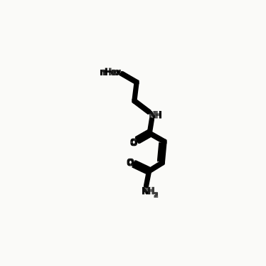 CCCCCCCCNC(=O)/C=C\C(N)=O